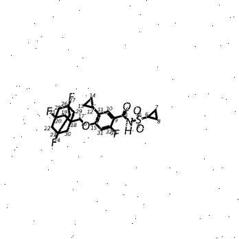 O=C(NS(=O)(=O)C1CC1)c1cc(C2CC2)c(OCC23CC4(F)CC(F)(CC(F)(C4)C2)C3)cc1F